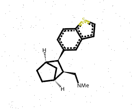 CNC[C@H]1[C@H]2CC[C@H](C2)[C@H]1c1ccc2sccc2c1